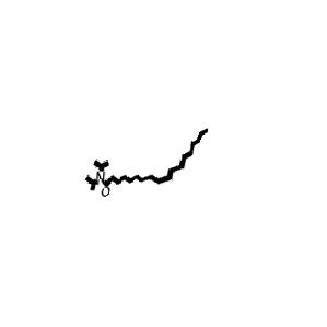 CCCCCCCC/C=C\CCCCCCCC(=O)N(C(C)C)C(C)C